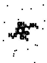 Cc1cc(O)n(CCN)c(=O)c1C